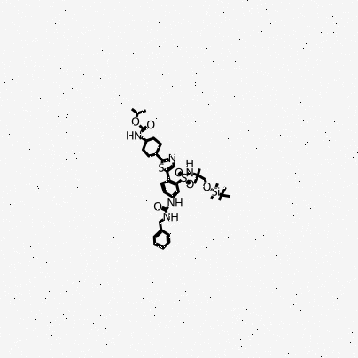 CC(C)OC(=O)NC1CCC(c2ncc(-c3ccc(NC(=O)NCc4ccccc4)cc3S(=O)(=O)NC(C)(C)CO[Si](C)(C)C(C)(C)C)s2)CC1